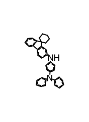 c1ccc(N(c2ccccc2)c2ccc(Nc3ccc4c(c3)C3(CCCCC3)c3ccccc3-4)cc2)cc1